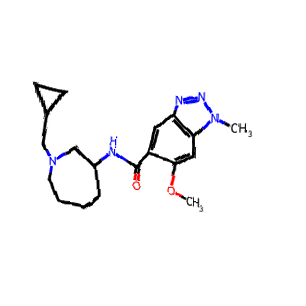 COc1cc2c(cc1C(=O)NC1CCCCN(CC3CC3)C1)nnn2C